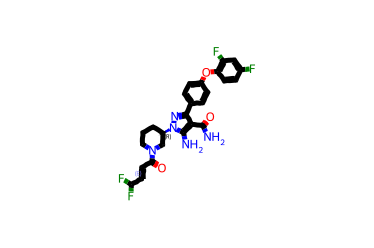 NC(=O)c1c(-c2ccc(Oc3ccc(F)cc3F)cc2)nn([C@@H]2CCCN(C(=O)/C=C/C(F)F)C2)c1N